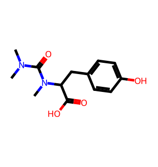 CN(C)C(=O)N(C)C(Cc1ccc(O)cc1)C(=O)O